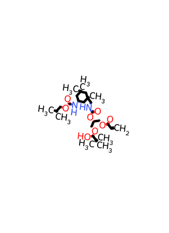 C=CC(=O)OCC(COC(O)C(C)(C)C)OC(=O)NCC1(C)CC(NC(=O)OCC(C)C)CC(C)(C)C1